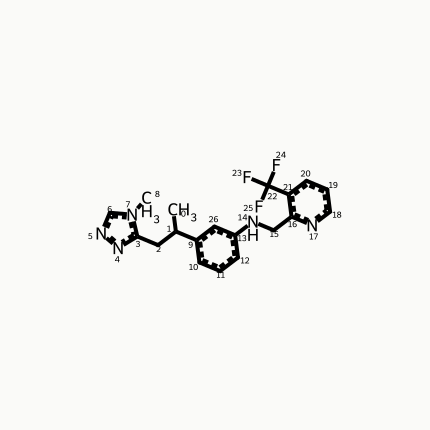 CC(Cc1nncn1C)c1cccc(NCc2ncccc2C(F)(F)F)c1